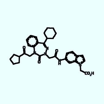 O=C(O)Cn1ccc2ccc(NC(=O)CN3N=C(C4CCCCC4)c4ccccc4N(CC(=O)C4CCCC4)C3=O)cc21